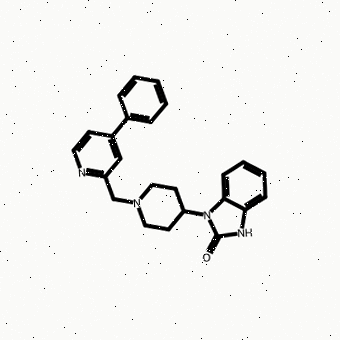 O=c1[nH]c2ccccc2n1C1CCN(Cc2cc(-c3ccccc3)ccn2)CC1